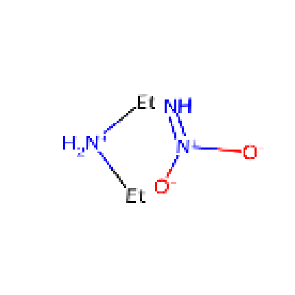 CC[NH2+]CC.N=[N+]([O-])[O-]